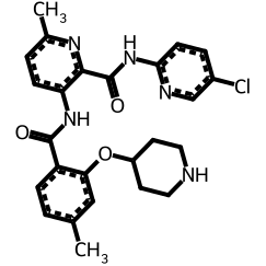 Cc1ccc(C(=O)Nc2ccc(C)nc2C(=O)Nc2ccc(Cl)cn2)c(OC2CCNCC2)c1